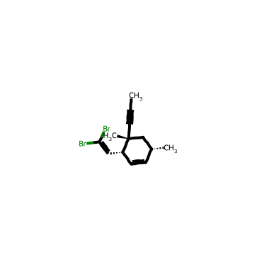 CC#C[C@]1(C)C[C@H](C)C=C[C@@H]1C=C(Br)Br